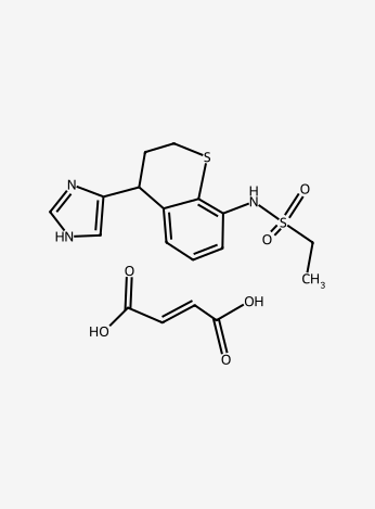 CCS(=O)(=O)Nc1cccc2c1SCCC2c1c[nH]cn1.O=C(O)C=CC(=O)O